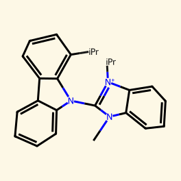 CC(C)c1cccc2c3ccccc3n(-c3n(C)c4ccccc4[n+]3C(C)C)c12